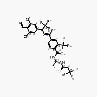 C=Cc1c(Cl)cc(C(/C=C(\F)c2ccc(C(=O)N[C@H](C)NC(=O)CC(F)(F)F)c(C(F)(F)F)c2)C(F)(F)F)cc1Cl